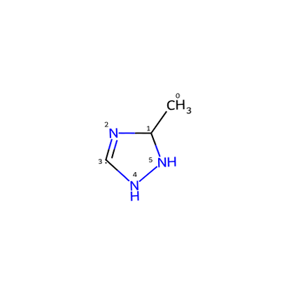 CC1N=[C]NN1